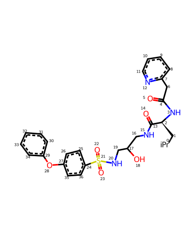 CC(C)C[C@H](NC(=O)Cc1ccccn1)C(=O)NCC(O)CNS(=O)(=O)c1ccc(Oc2ccccc2)cc1